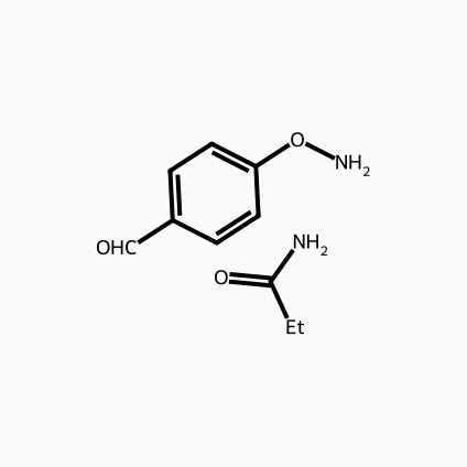 CCC(N)=O.NOc1ccc(C=O)cc1